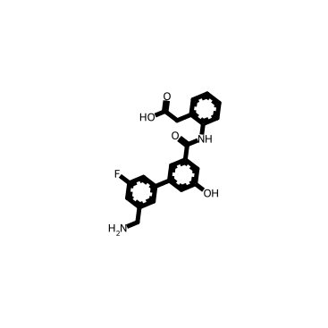 NCc1cc(F)cc(-c2cc(O)cc(C(=O)Nc3ccccc3CC(=O)O)c2)c1